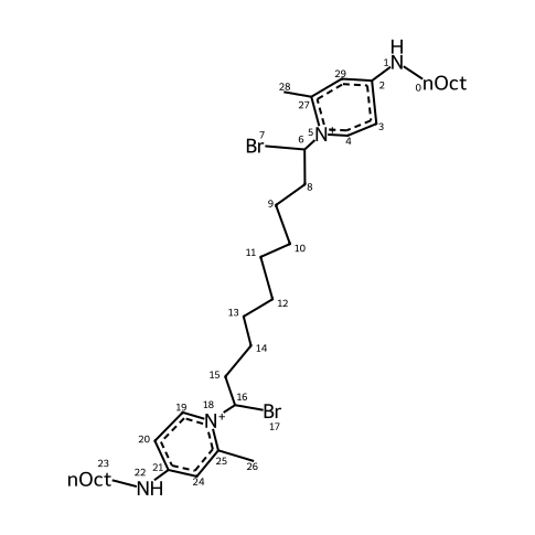 CCCCCCCCNc1cc[n+](C(Br)CCCCCCCCC(Br)[n+]2ccc(NCCCCCCCC)cc2C)c(C)c1